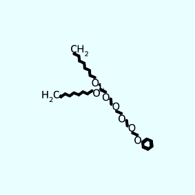 C=CCCCCCCCOC[C@@H](COCCOCCOCCOCCOc1ccccc1)OCCCCCCCC=C